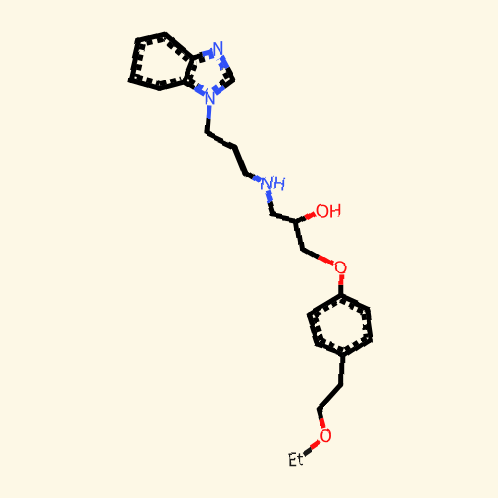 CCOCCc1ccc(OCC(O)CNCCCn2cnc3ccccc32)cc1